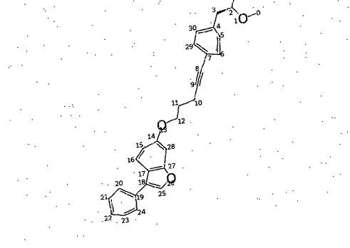 CO[C@@H](Cc1ccc(C#CCCCOc2ccc3c(-c4ccccc4)coc3c2)cc1)C(=O)O